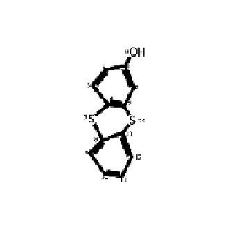 Oc1[c]c2c(cc1)Sc1ccccc1S2